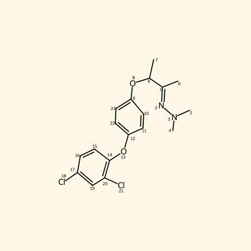 CC(=NN(C)C)C(C)Oc1ccc(Oc2ccc(Cl)cc2Cl)cc1